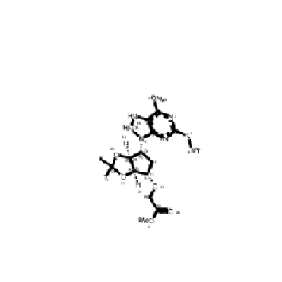 CCCSc1nc(OC)c2c(n1)N([C@@H]1C[C@H](OCC(=O)OC)[C@H]3OC(C)(C)O[C@H]31)NN2